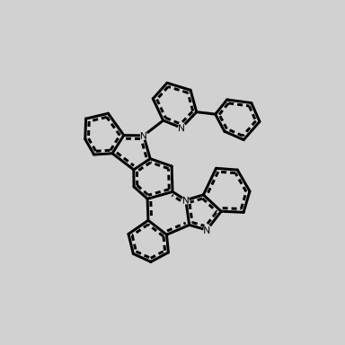 c1ccc(-c2cccc(-n3c4ccccc4c4cc5c6ccccc6c6nc7ccccc7n6c5cc43)n2)cc1